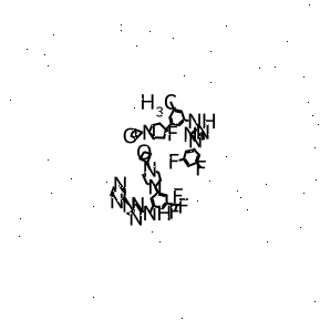 Cc1cc(Nc2ncn(-c3cc(F)cc(F)c3)n2)cc(C2(F)CCN(C3COC3)CC2)c1.FC(F)(F)c1cc(Nc2ncn(-c3cnccn3)n2)cc(N2CCN(C3COC3)CC2)c1